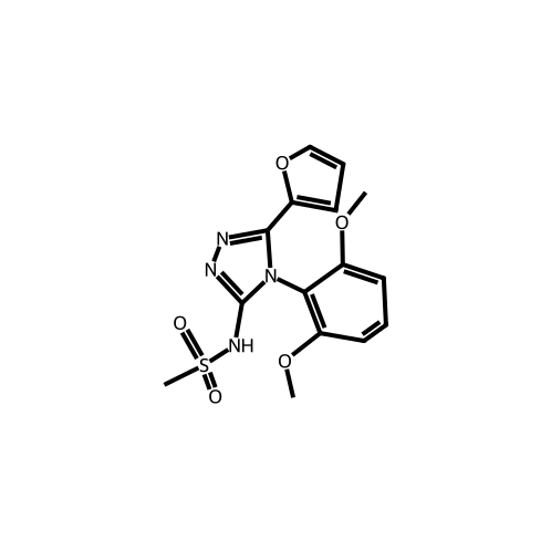 COc1cccc(OC)c1-n1c(NS(C)(=O)=O)nnc1-c1ccco1